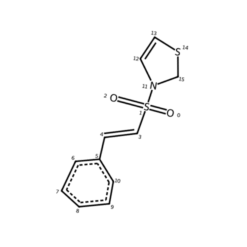 O=S(=O)(/C=C/c1ccccc1)N1C=CSC1